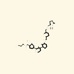 COc1cc(-c2nccc(-c3cccc(NC(=O)c4ccc(CNCC5CCC(=O)N5)cn4)c3C)c2Cl)ccc1CNCCCF